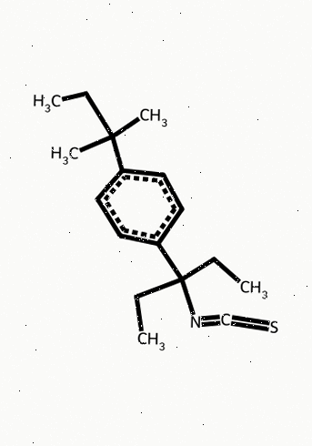 CCC(C)(C)c1ccc(C(CC)(CC)N=C=S)cc1